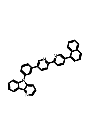 c1cc(-c2ccc(-c3ccc(-c4cccc5ccccc45)cn3)nc2)cc(-n2c3ccccc3c3ncccc32)c1